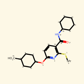 CCCSc1nc(OC2CCC(C(=O)O)CC2)ccc1C(=O)NC1CCCCC1